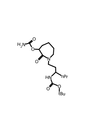 CCCC(CCN1CCCCC(OC(N)=O)C1=O)NC(=O)OC(C)(C)C